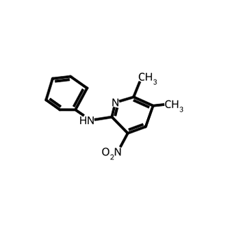 Cc1cc([N+](=O)[O-])c(Nc2ccccc2)nc1C